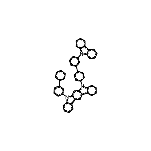 c1ccc(-c2cccc(-n3c4ccccc4c4cc5c6ccccc6n(-c6ccc(-c7cccc(-n8c9ccccc9c9ccccc98)c7)cc6)c5cc43)c2)cc1